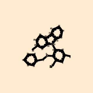 Cc1cc(Br)c(OCc2ccccc2)c(-n2c3ccccc3c3ccc(C)cc32)c1